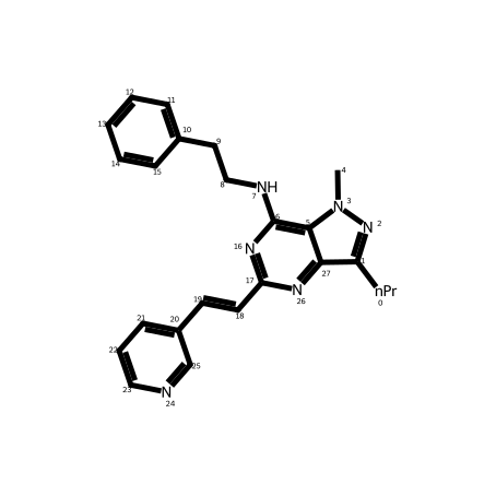 CCCc1nn(C)c2c(NCCc3ccccc3)nc(C=Cc3cccnc3)nc12